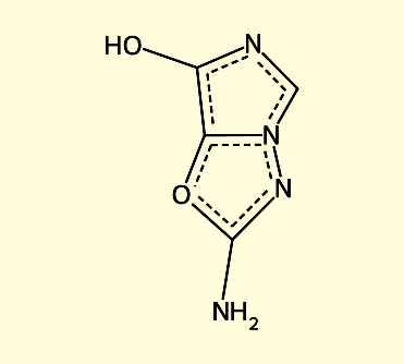 Nc1nn2cnc(O)c2o1